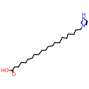 O=C(O)CCCCCCCCCCCCCCCCCCCC[n+]1cc[nH]c1